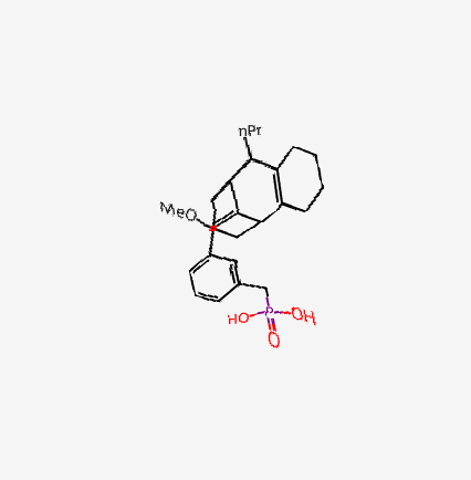 CCCC1C2=C(CCCC2)C2CCCC1/C2=C(\OC)c1cccc(CP(=O)(O)O)c1